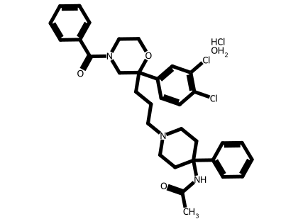 CC(=O)NC1(c2ccccc2)CCN(CCCC2(c3ccc(Cl)c(Cl)c3)CN(C(=O)c3ccccc3)CCO2)CC1.Cl.O